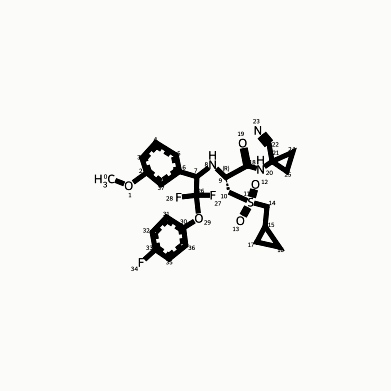 COc1cccc(C(N[C@@H](CS(=O)(=O)CC2CC2)C(=O)NC2(C#N)CC2)C(F)(F)Oc2ccc(F)cc2)c1